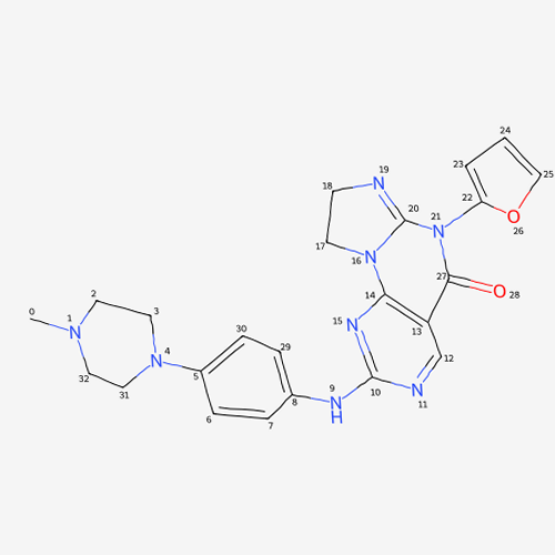 CN1CCN(c2ccc(Nc3ncc4c(n3)N3CCN=C3N(c3ccco3)C4=O)cc2)CC1